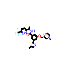 Cc1cnc(-c2cc(OC[C@@H]3CN(C)CCO3)cc(C(=O)NC(C)c3ccc(C(F)(F)F)nn3)c2)s1